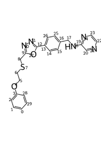 c1ccc(OCCSCc2nnc(-c3ccc(CNc4cnccn4)cc3)o2)cc1